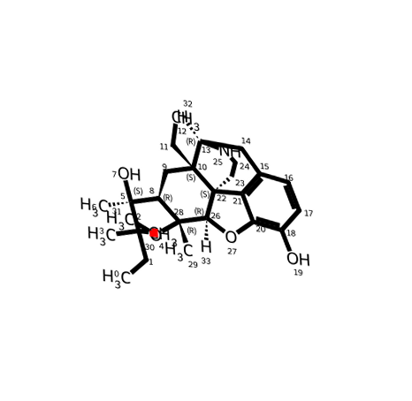 CCC(C)(C)[C@@](C)(O)[C@H]1C[C@]2(CC)[C@H]3Cc4ccc(O)c5c4[C@@]2(CCN3)[C@@H](O5)[C@]1(C)OC